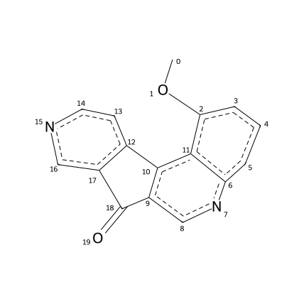 COc1cccc2ncc3c(c12)-c1ccncc1C3=O